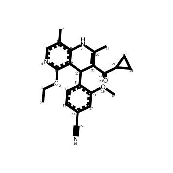 CCOc1ncc(C)c2c1C(c1ccc(C#N)cc1OC)C(C(=O)C1CC1)=C(C)N2